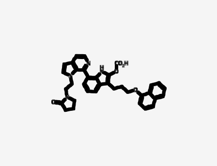 O=C(O)Oc1[nH]c2c(-c3nccc4ccn(CCN5CCCC5=O)c34)cccc2c1CCCOc1cccc2ccccc12